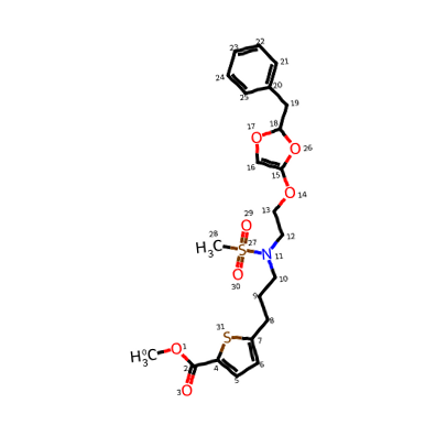 COC(=O)c1ccc(CCCN(CCOC2=COC(Cc3ccccc3)O2)S(C)(=O)=O)s1